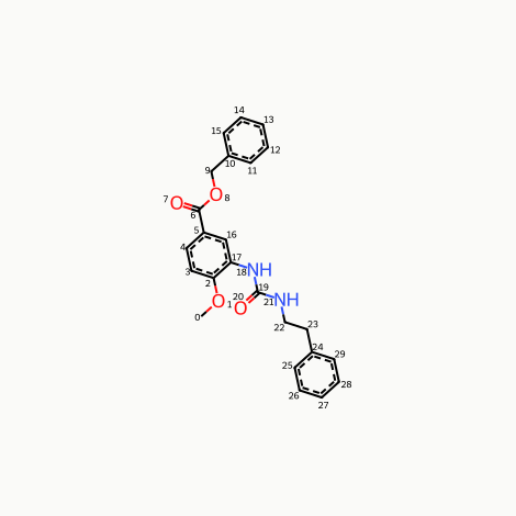 COc1ccc(C(=O)OCc2ccccc2)cc1NC(=O)NCCc1ccccc1